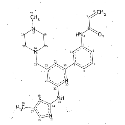 C=CC(=O)Nc1cccc(-c2cc(CN3CCN(C)CC3)cc(Nc3ncc(C)s3)n2)c1